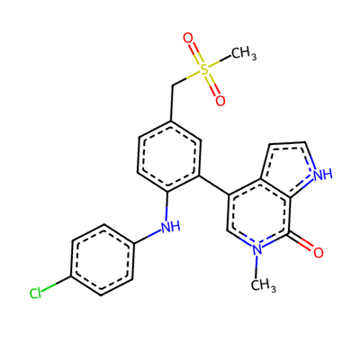 Cn1cc(-c2cc(CS(C)(=O)=O)ccc2Nc2ccc(Cl)cc2)c2cc[nH]c2c1=O